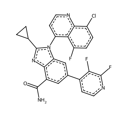 NC(=O)c1cc(-c2ccnc(F)c2F)cc2c1nc(C1CC1)n2-c1ccnc2c(Cl)ccc(F)c12